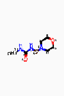 CCCCNC(=O)NSN1CCOCC1